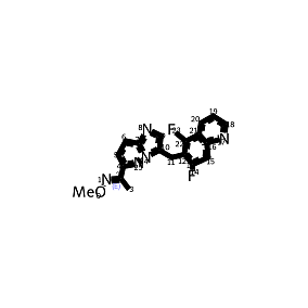 CO/N=C(\C)c1ccc2ncc(Cc3c(F)cc4ncccc4c3F)n2n1